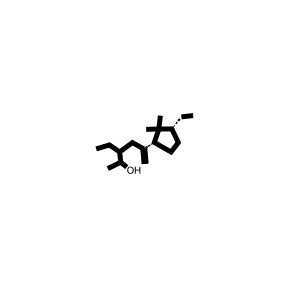 C=C(CC(CC)C(C)O)[C@H]1CC[C@@H](CC)C1(C)C